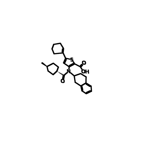 C[C@H]1CC[C@H](C(=O)N(c2cc(C3=CCCCC3)sc2C(=O)O)C2CCc3ccccc3C2)CC1